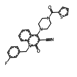 N#Cc1c(N2CCN(C(=O)c3cccs3)CC2)c2ccccc2n(Cc2cccc(F)c2)c1=O